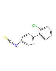 S=C=Nc1ccc(-c2ccccc2Cl)cc1